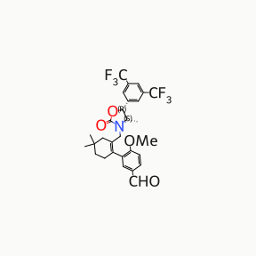 COc1ccc(C=O)cc1C1=C(CN2C(=O)O[C@H](c3cc(C(F)(F)F)cc(C(F)(F)F)c3)[C@@H]2C)CC(C)(C)CC1